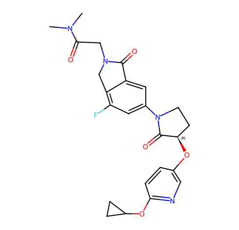 CN(C)C(=O)CN1Cc2c(F)cc(N3CC[C@@H](Oc4ccc(OC5CC5)nc4)C3=O)cc2C1=O